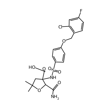 CC1(C)CC(NS(=O)(=O)c2ccc(OCc3ccc(F)cc3Cl)cc2)(C(=O)O)C(C(N)=O)O1